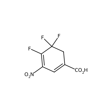 O=C(O)C1=CC([N+](=O)[O-])=C(F)C(F)(F)C1